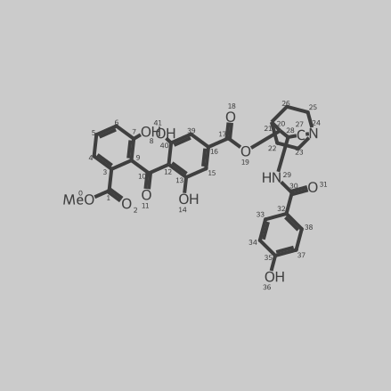 COC(=O)c1cccc(O)c1C(=O)c1c(O)cc(C(=O)OC2C3CCN(CC3)CC2NC(=O)c2ccc(O)cc2)cc1O